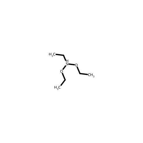 [CH2]C[SiH](OCC)OCC